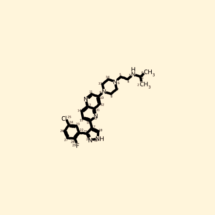 CC(C)NCCN1CCN(c2cnc3ccc(-c4c[nH]nc4-c4cc(Cl)ccc4F)nc3c2)CC1